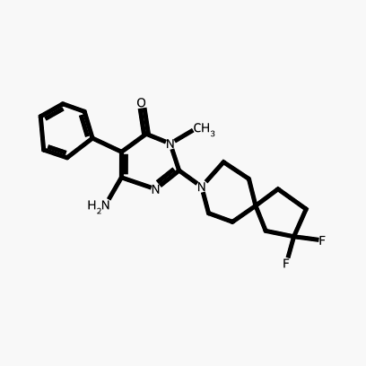 Cn1c(N2CCC3(CC2)CCC(F)(F)C3)nc(N)c(-c2ccccc2)c1=O